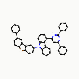 c1ccc(-c2ccc3sc4ccc(-n5c6ccccc6c6c(-c7cc(-c8ccccc8)nc(-c8ccccc8)n7)cccc65)cc4c3c2)cc1